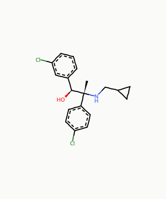 C[C@@](NCC1CC1)(c1ccc(Cl)cc1)[C@@H](O)c1cccc(Cl)c1